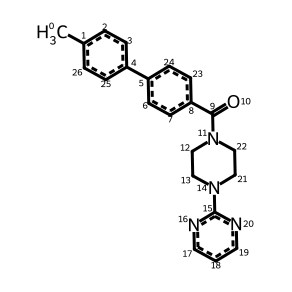 Cc1ccc(-c2ccc(C(=O)N3CCN(c4ncccn4)CC3)cc2)cc1